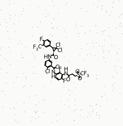 O=C(CCS(=O)(=O)C(F)(F)F)Nc1c(F)ccc(NC(=O)c2cc(NC(=O)[C@H]3C(c4ccc(F)c(C(F)(F)F)c4)C3(Cl)Cl)ccc2Cl)c1F